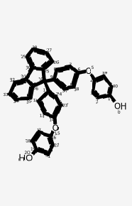 Oc1ccc(Oc2ccc(C3(c4ccc(Oc5ccc(O)cc5)cc4)c4ccccc4-c4ccccc43)cc2)cc1